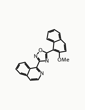 COc1ccc2ccccc2c1-c1nc(-c2nccc3ccccc23)no1